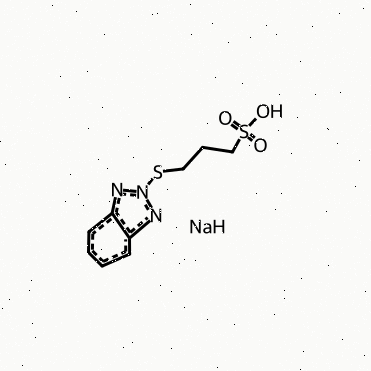 O=S(=O)(O)CCCSn1nc2ccccc2n1.[NaH]